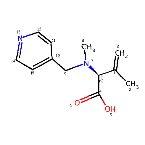 C=C(C)[C@@H](C(=O)O)N(C)Cc1ccncc1